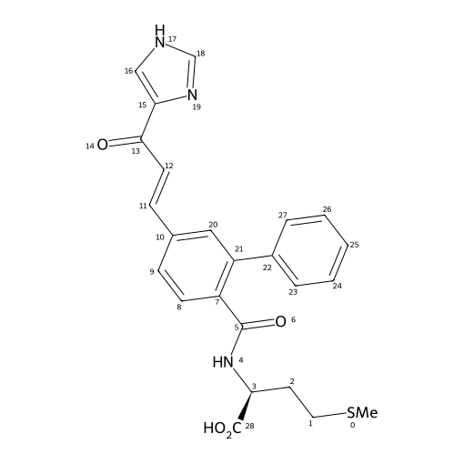 CSCC[C@H](NC(=O)c1ccc(C=CC(=O)c2c[nH]cn2)cc1-c1ccccc1)C(=O)O